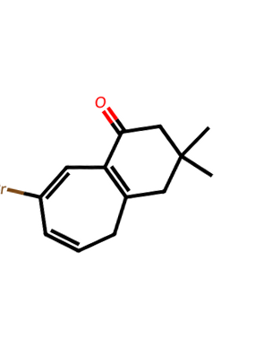 CC1(C)CC(=O)C2=C(CC=CC(Br)=C2)C1